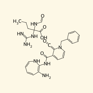 CCCC(NC=O)(NC(=N)N)C(=O)O.NC1=C(NC(=O)C2=CC=CN(Cc3ccccc3)C2=C=O)NC=CC=C1